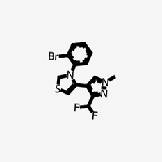 Cn1cc(C2=CSCN2c2ccccc2Br)c(C(F)F)n1